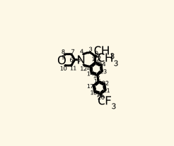 CC1(C)CCN(C2CCOCC2)Cc2cc(-c3ccc(C(F)(F)F)cc3)ccc21